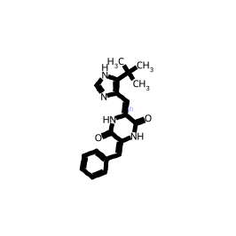 CC(C)(C)c1[nH]cnc1/C=c1\[nH]c(=O)c(=Cc2ccccc2)[nH]c1=O